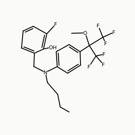 CCCCN(Cc1cccc(F)c1O)c1ccc(C(OC)(C(F)(F)F)C(F)(F)F)cc1